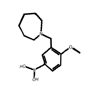 COc1ccc(B(O)O)cc1CN1CCCCCC1